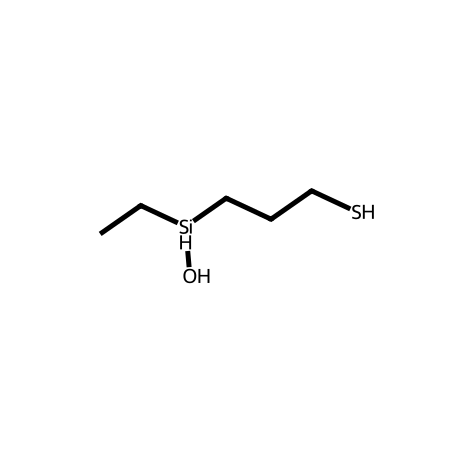 CC[SiH](O)CCCS